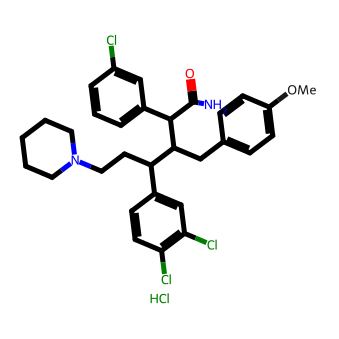 COc1ccc(CC(C(CCN2CCCCC2)c2ccc(Cl)c(Cl)c2)C(C(N)=O)c2cccc(Cl)c2)cc1.Cl